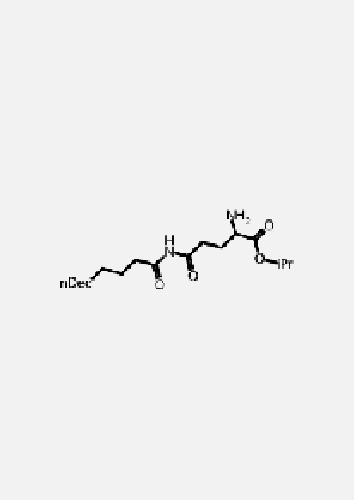 CCCCCCCCCCCCCC(=O)NC(=O)CCC(N)C(=O)OC(C)C